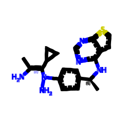 C/C(N)=C(\C1CC1)N(N)c1ccc([C@H](C)Nc2ncnc3sccc23)cc1